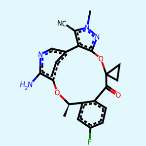 C[C@H]1Oc2cc(cnc2N)-c2c(nn(C)c2C#N)OC2(CC2)C(=O)c2ccc(F)cc21